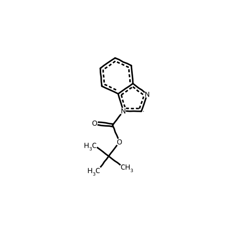 CC(C)(C)OC(=O)n1[c]nc2ccccc21